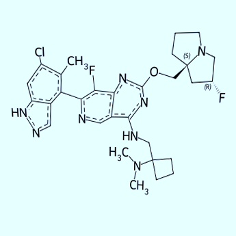 Cc1c(Cl)cc2[nH]ncc2c1-c1ncc2c(NCC3(N(C)C)CCC3)nc(OC[C@@]34CCCN3C[C@H](F)C4)nc2c1F